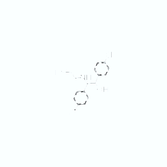 OC(c1ccc(Cl)cc1)C(NCCS)c1ccc(Cl)cc1